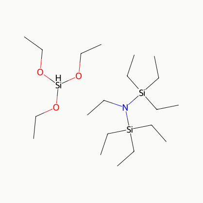 CCN([Si](CC)(CC)CC)[Si](CC)(CC)CC.CCO[SiH](OCC)OCC